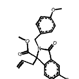 C=CCC1(C(=O)OC)c2ccc(F)cc2C(=O)N1Cc1ccc(OC)cc1